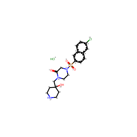 Cl.O=C1CN(S(=O)(=O)c2ccc3cc(Cl)ccc3c2)CCN1CC1(O)CCNCC1